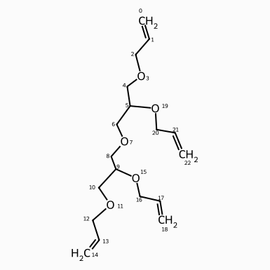 C=CCOCC(COCC(COCC=C)OCC=C)OCC=C